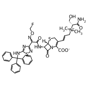 C[N+](C)(C/C=C/C1=C(C(=O)[O-])N2C(=O)[C@@H](NC(=O)/C(=N\OCF)c3nsc(NC(c4ccccc4)(c4ccccc4)c4ccccc4)n3)[C@@H]2SC1)[C@H](CO)C(N)=O